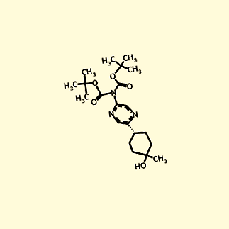 CC(C)(C)OC(=O)N(C(=O)OC(C)(C)C)c1cnc([C@H]2CC[C@@](C)(O)CC2)cn1